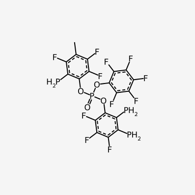 Cc1c(F)c(F)c(OP(=O)(Oc2c(F)c(F)c(F)c(F)c2F)Oc2c(F)c(F)c(F)c(P)c2P)c(P)c1F